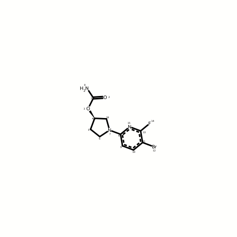 NC(=O)O[C@@H]1CCN(c2ccc(Br)c(F)n2)C1